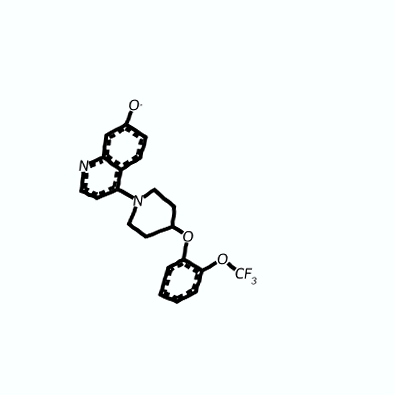 [O]c1ccc2c(N3CCC(Oc4ccccc4OC(F)(F)F)CC3)ccnc2c1